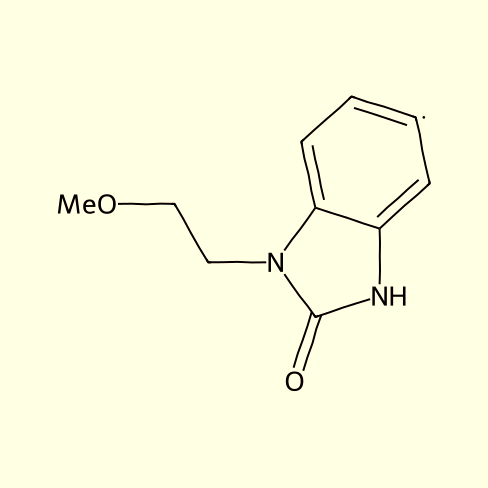 COCCn1c(=O)[nH]c2c[c]ccc21